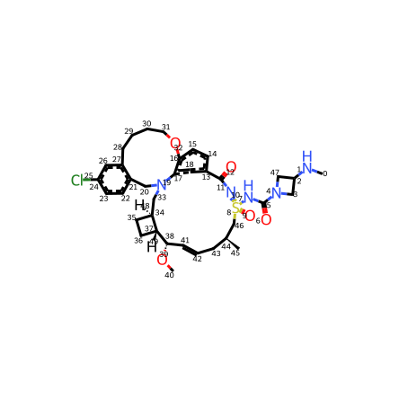 CNC1CN(C(=O)NS2(=O)=NC(=O)c3ccc4c(c3)N(Cc3ccc(Cl)cc3CCCCO4)C[C@@H]3CC[C@H]3[C@@H](OC)/C=C/C[C@H](C)C2)C1